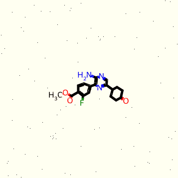 COC(=O)c1ccc(-c2nc(C3CCC(=O)CC3)cnc2N)cc1F